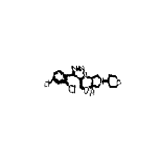 Clc1ccc(C2N=NN3C2CO[C@H]2CN(C4CCOCC4)CC23)c(Cl)c1